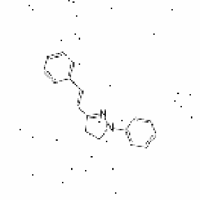 C(=Cc1ccccc1)C1=NN(c2ccccc2)CC1